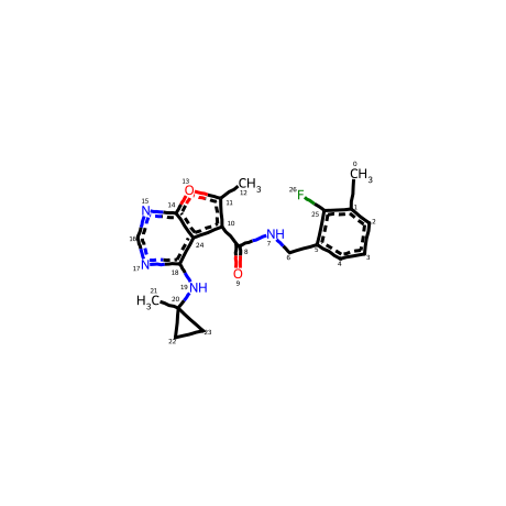 Cc1cccc(CNC(=O)c2c(C)oc3ncnc(NC4(C)CC4)c23)c1F